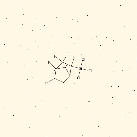 FC1CC2CC1(F)C(F)(F)C2(F)[Si](Cl)(Cl)Cl